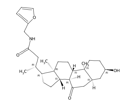 C[C@H](CC(=O)NCc1ccco1)[C@H]1CC[C@H]2[C@@H]3C(=O)C[C@@H]4C[C@H](O)CC[C@]4(C)[C@H]3CC[C@]12C